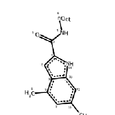 CCCCCCCCNC(=O)c1cc2c(C)cc(C)cc2[nH]1